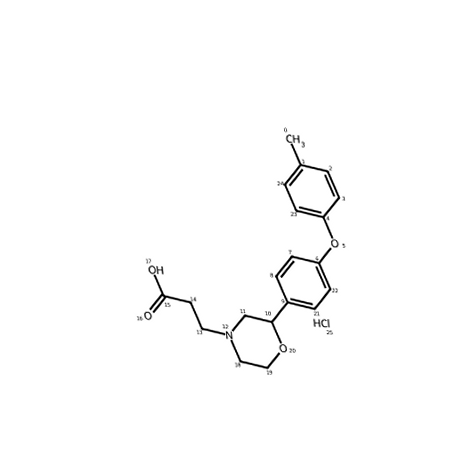 Cc1ccc(Oc2ccc(C3CN(CCC(=O)O)CCO3)cc2)cc1.Cl